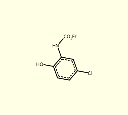 CCOC(=O)Nc1cc(Cl)ccc1O